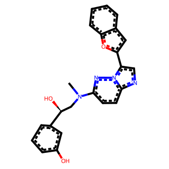 CN(C[C@H](O)c1cccc(O)c1)c1ccc2ncc(-c3cc4ccccc4o3)n2n1